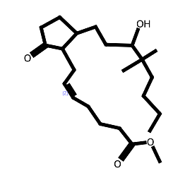 CCCCC(C)(C)C(O)CCC1CCC(=O)C1C/C=C\CCCC(=O)OC